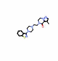 Cc1cnn2c1C(=O)N(CCN1CCN(c3nsc4ccccc34)CC1)CC2